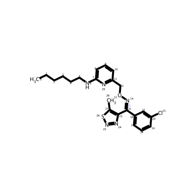 CCCCCCNc1cccc(CO/N=C(/c2cccc(Cl)c2)c2nnsc2C)n1